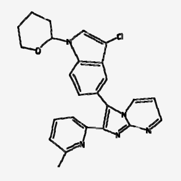 Cc1cccc(-c2nc3ncccn3c2-c2ccc3c(c2)c(Cl)cn3C2CCCCO2)n1